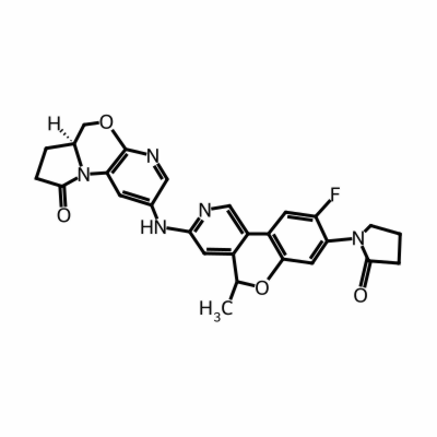 CC1Oc2cc(N3CCCC3=O)c(F)cc2-c2cnc(Nc3cnc4c(c3)N3C(=O)CC[C@H]3CO4)cc21